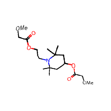 COCC(=O)OCCN1C(C)(C)CC(OC(=O)COC)CC1(C)C